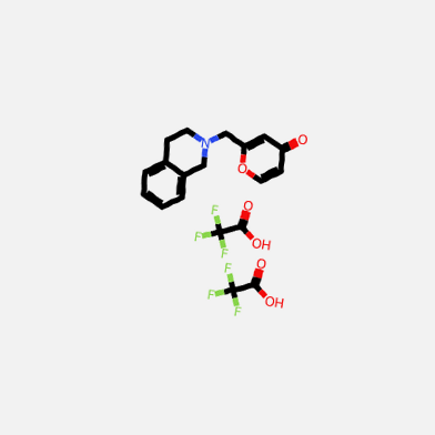 O=C(O)C(F)(F)F.O=C(O)C(F)(F)F.O=c1ccoc(CN2CCc3ccccc3C2)c1